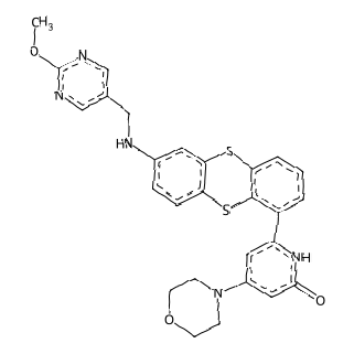 COc1ncc(CNc2ccc3c(c2)Sc2cccc(-c4cc(N5CCOCC5)cc(=O)[nH]4)c2S3)cn1